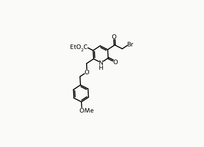 CCOC(=O)c1cc(C(=O)CBr)c(=O)[nH]c1COCc1ccc(OC)cc1